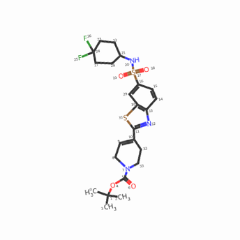 CC(C)(C)OC(=O)N1CC=C(c2nc3ccc(S(=O)(=O)NC4CCC(F)(F)CC4)cc3s2)CC1